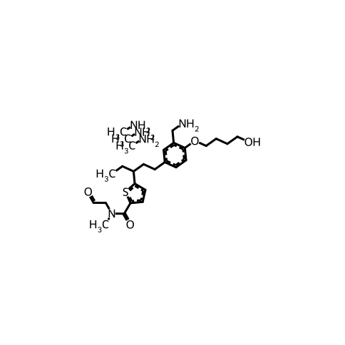 CCC(CCc1ccc(OCCCCO)c(CN)c1)c1ccc(C(=O)N(C)CC=O)s1.CN.CN.CN